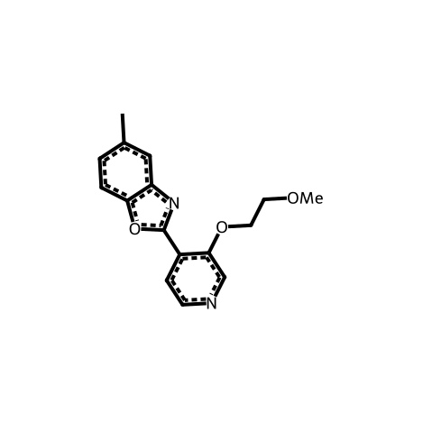 COCCOc1cnccc1-c1nc2cc(C)ccc2o1